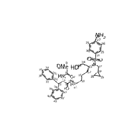 COC(=O)N[C@H](C(=O)N[C@@H](C)CCC[C@@H](CO)N(CC1CC1)S(=O)(=O)c1ccc(N)cc1)C(c1ccccc1)c1ccccc1